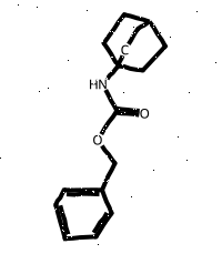 O=C(NC12CCC(CC1)CC2)OCc1ccccc1